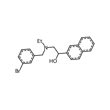 CCN(Cc1cccc(Br)c1)CC(O)c1ccc2ccccc2c1